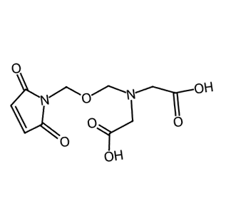 O=C(O)CN(COCN1C(=O)C=CC1=O)CC(=O)O